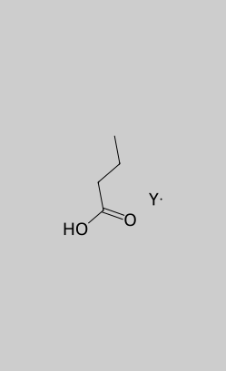 CCCC(=O)O.[Y]